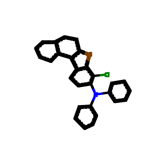 Clc1c(N(c2ccccc2)c2ccccc2)ccc2c1sc1ccc3ccccc3c12